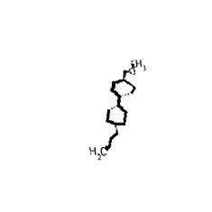 C=CCC[C@H]1CC[C@H]([C@H]2CC[C@H](COC)CC2)CC1